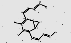 C/N=C/C=C\C1=C(C)C(C)=C(/C=C\C=N\C)C2OC12